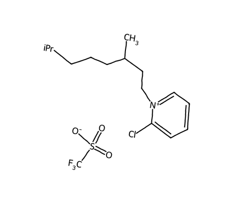 CC(C)CCCC(C)CC[n+]1ccccc1Cl.O=S(=O)([O-])C(F)(F)F